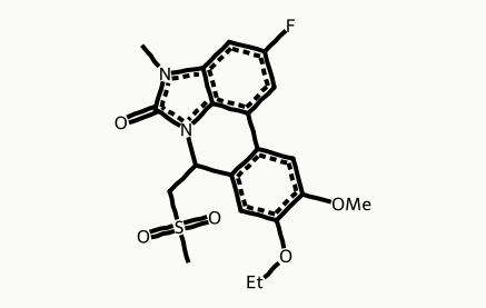 CCOc1cc2c(cc1OC)-c1cc(F)cc3c1n(c(=O)n3C)C2CS(C)(=O)=O